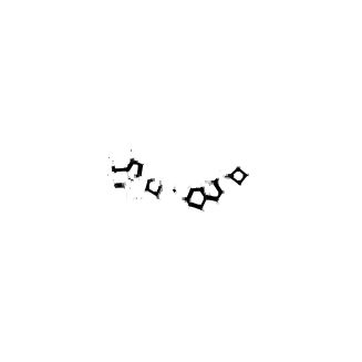 Nc1ncnn2c([C@@H]3O[C@H](COc4ccc5ccc(NC6CCC6)nc5c4)[C@@H](O)[C@H]3O)cc(I)c12